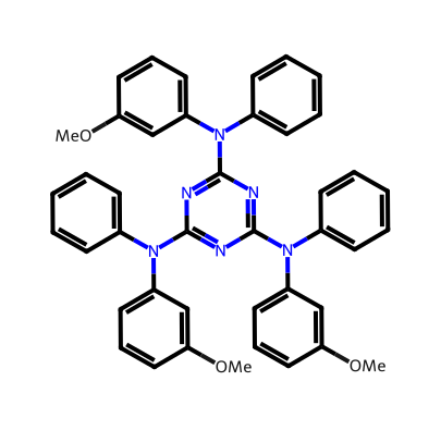 COc1cccc(N(c2ccccc2)c2nc(N(c3ccccc3)c3cccc(OC)c3)nc(N(c3ccccc3)c3cccc(OC)c3)n2)c1